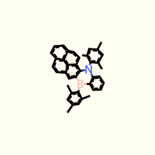 Cc1cc(C)c(B2c3ccccc3N(c3c(C)cc(C)cc3C)c3c2cc2ccc4cccc5ccc3c2c45)c(C)c1